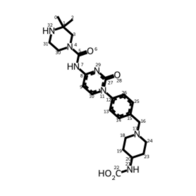 CC1(C)CN(C(=O)Nc2ccn(-c3ccc(CN4CCC(NC(=O)O)CC4)cc3)c(=O)n2)CCN1